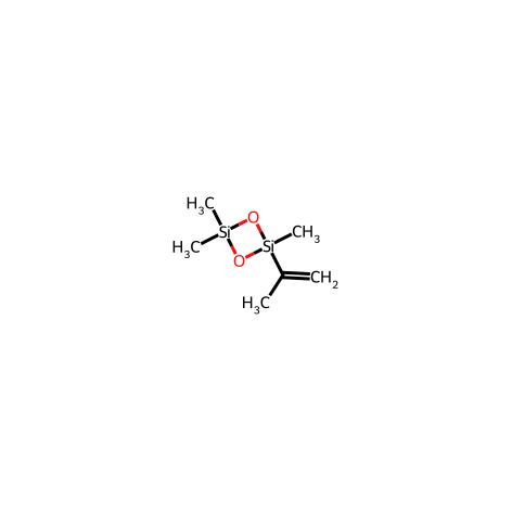 C=C(C)[Si]1(C)O[Si](C)(C)O1